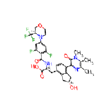 Cc1nc(-c2ccc(C[C@H](NC(=O)c3c(F)cc(N4CCOC[C@@H]4C(F)(F)F)cc3F)C(=O)O)c3c2C[C@H](O)C3)c(=O)n(C)c1C